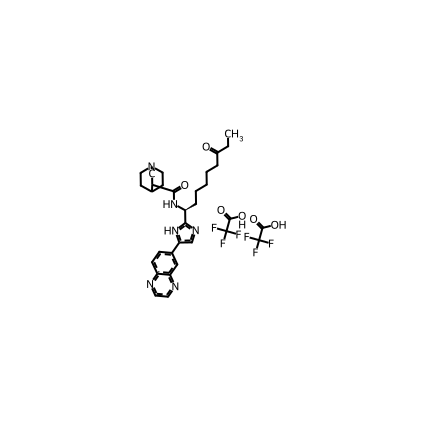 CCC(=O)CCCCC[C@H](NC(=O)C1CN2CCC1CC2)c1ncc(-c2ccc3nccnc3c2)[nH]1.O=C(O)C(F)(F)F.O=C(O)C(F)(F)F